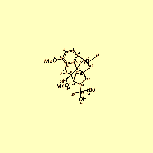 COc1ccc2c3c1O[C@@H]1C34CCN(C)C(C2)[C@@]42C[C@H](C(C)(O)C(C)(C)C)[C@]1(OC)C2